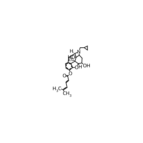 CC[C@]12c3c4ccc(OC(=O)/C=C/C=C(C)C)c3O[C@H]1C(O)CC1N(CC3CC3)[C@H](C4)[C@]12O